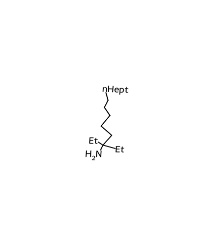 CCCCCCCCCCCCC(N)(CC)CC